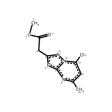 COC(=O)Cc1nc2nc(C)cc(Cl)n2n1